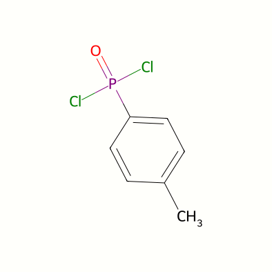 Cc1ccc(P(=O)(Cl)Cl)cc1